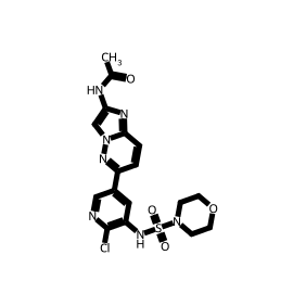 CC(=O)Nc1cn2nc(-c3cnc(Cl)c(NS(=O)(=O)N4CCOCC4)c3)ccc2n1